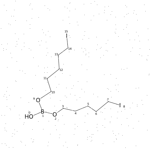 OB(OCCCCCI)OCCCCCI